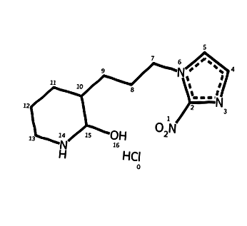 Cl.O=[N+]([O-])c1nccn1CCCC1CCCNC1O